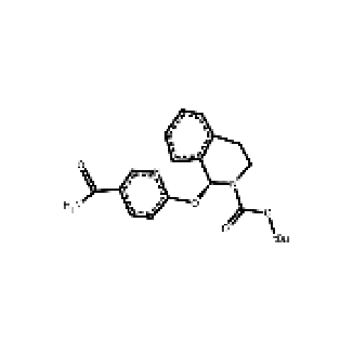 CC(C)(C)OC(=O)N1CCc2ccccc2[C@@H]1Oc1ccc(C(N)=O)cn1